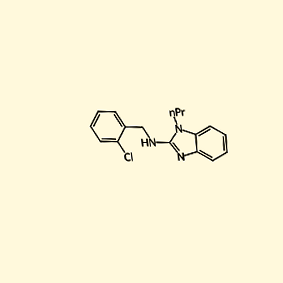 CCCn1c(NCc2ccccc2Cl)nc2ccccc21